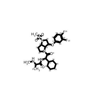 CNC(C)C(=O)NC(C(=O)N1CCC2C1C(Oc1ccc(F)c(F)c1)CN2S(C)(=O)=O)C1CCCCC1